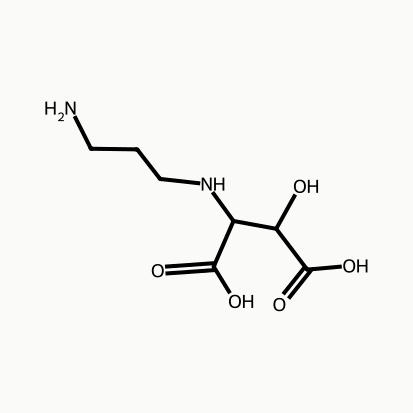 NCCCNC(C(=O)O)C(O)C(=O)O